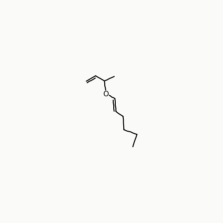 C=CC(C)OC=CCCCC